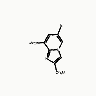 CCOC(=O)c1cn2cc(Br)cc(OC)c2n1